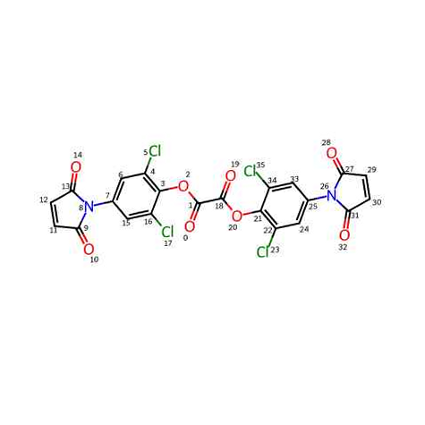 O=C(Oc1c(Cl)cc(N2C(=O)C=CC2=O)cc1Cl)C(=O)Oc1c(Cl)cc(N2C(=O)C=CC2=O)cc1Cl